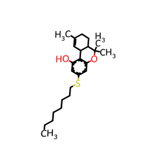 CCCCCCCCSc1cc(O)c2c(c1)OC(C)(C)C1CCC(C)=CC21